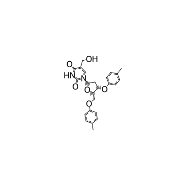 Cc1ccc(OC[C@H]2O[C@@H](n3cc(CO)c(=O)[nH]c3=O)C[C@@H]2Oc2ccc(C)cc2)cc1